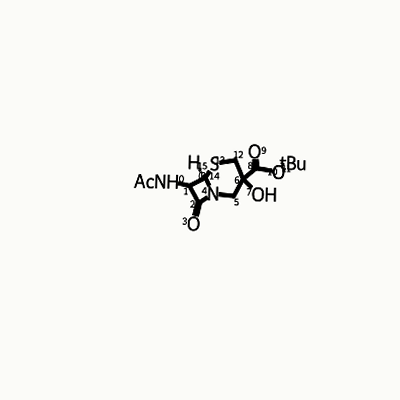 CC(=O)NC1C(=O)N2CC(O)(C(=O)OC(C)(C)C)CS[C@H]12